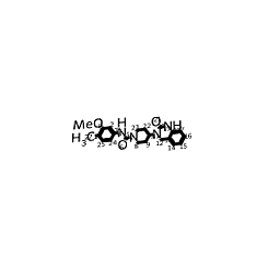 COc1cc(NC(=O)N2CCC(N3Cc4ccccc4NC3=O)CC2)ccc1C